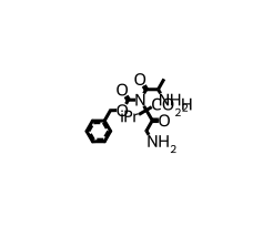 CC(N)C(=O)N(C(=O)OCc1ccccc1)C(C(=O)O)(C(=O)CN)C(C)C